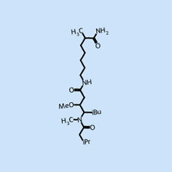 CCC(C)C(C(CC(=O)NCCCCCC(C)C(N)=O)OC)N(C)C(=O)CC(C)C